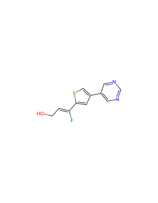 OC/C=C(\F)c1cc(-c2cncnc2)cs1